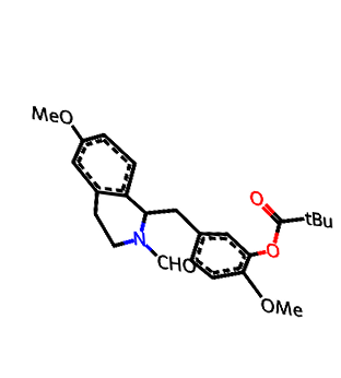 COc1ccc2c(c1)CCN(C=O)C2Cc1ccc(OC)c(OC(=O)C(C)(C)C)c1